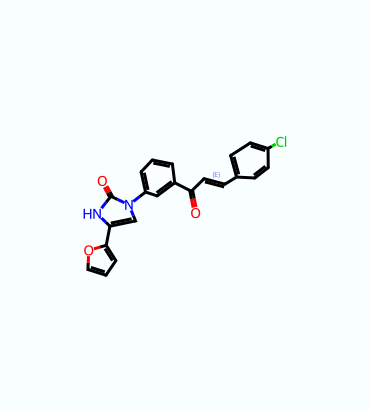 O=C(/C=C/c1ccc(Cl)cc1)c1cccc(-n2cc(-c3ccco3)[nH]c2=O)c1